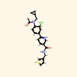 CC(=O)N(CC1CC1)c1ccc(-c2ccc(C(=O)NCc3ccsc3)cn2)cc1Cl